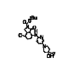 CC(C)(C)OC(=O)N1Cc2c(Cl)ccc(Nc3ccc(N4CCC(O)(C5CC5)CC4)cn3)c2C1=O